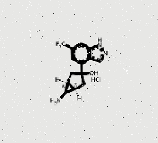 Cl.NC1[C@H]2CC(O)(c3cc(C(F)(F)F)cc4[nH]ncc34)C[C@@H]12